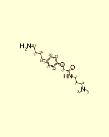 CN(C)CCCNC(=O)COc1ccc(CCCCN)cc1